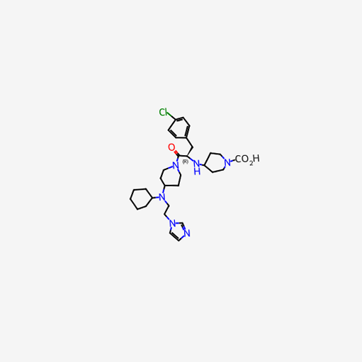 O=C(O)N1CCC(N[C@H](Cc2ccc(Cl)cc2)C(=O)N2CCC(N(CCn3ccnc3)C3CCCCC3)CC2)CC1